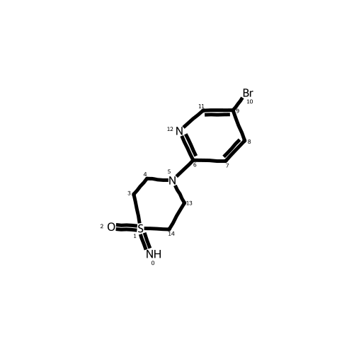 N=S1(=O)CCN(c2ccc(Br)cn2)CC1